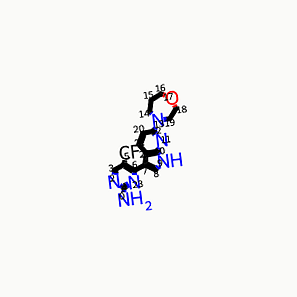 Nc1ncc(C(F)(F)F)c(-c2c[nH]c3nc(N4CCCOCC4)ccc23)n1